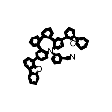 N#Cc1cccc(-n2c3ccc(-c4cccc5c4oc4ccccc45)cc3c3ccccc3c3ccccc3c3cc(-c4cccc5c4oc4ccccc45)ccc32)c1